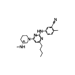 CCCCc1cc(N2CCC[C@@H](NC)C2)nc(Nc2ccc(C)c(C#N)c2)n1